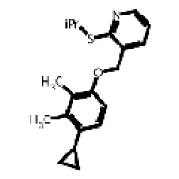 Cc1c(OCc2cccnc2SC(C)C)ccc(C2CC2)c1C